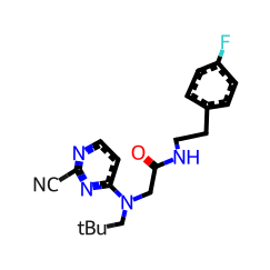 CC(C)(C)CN(CC(=O)NCCc1ccc(F)cc1)c1ccnc(C#N)n1